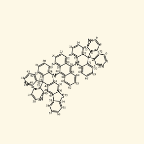 c1cncc(C2(c3cccnc3)c3ccccc3N(c3c4ccccc4c(N4c5ccccc5C(c5cccnc5)(c5cccnc5)c5cc6c(cc54)sc4ccccc46)c4ccccc34)c3ccccc32)c1